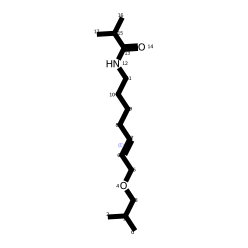 CC(C)COC/C=C/CCCCNC(=O)C(C)C